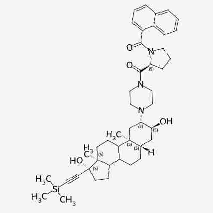 C[C@]12CCC3C(CC[C@H]4C[C@H](O)[C@@H](N5CCN(C(=O)[C@@H]6CCCN6C(=O)c6cccc7ccccc67)CC5)C[C@]34C)C1CC[C@@]2(O)C#C[Si](C)(C)C